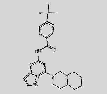 CC(C)(C)c1ccc(C(=O)Nc2cc(N3CCC4CCCCC4C3)n3nccc3n2)cc1